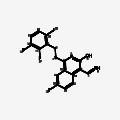 N=Cc1c(O)nc(SCc2c(F)ccc(F)c2F)c2cc(F)ccc12